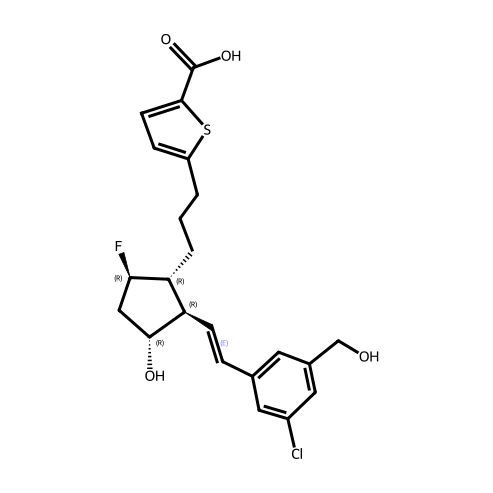 O=C(O)c1ccc(CCC[C@@H]2[C@@H](/C=C/c3cc(Cl)cc(CO)c3)[C@H](O)C[C@H]2F)s1